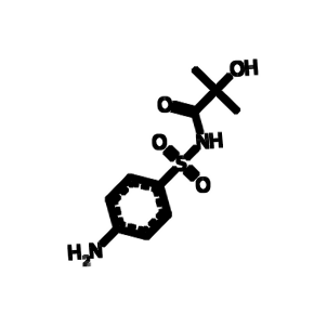 CC(C)(O)C(=O)NS(=O)(=O)c1ccc(N)cc1